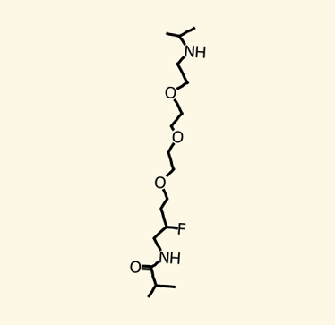 CC(C)NCCOCCOCCOCCC(F)CNC(=O)C(C)C